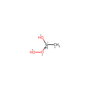 C[SiH](O)OO